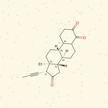 CC#C[C@H]1C(=O)C[C@H]2[C@@H]3CCC4C(=O)C(=O)CC[C@]4(C)[C@H]3CC[C@]12CC